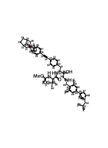 COC(=O)NC(C(=O)N[C@@H](Cc1ccc(C#Cc2ccc(N3CC4CCC(C3)N4C3COC3)nc2)cc1)[C@@H](O)CNCc1c(F)cc(-c2ccn(CC(F)F)n2)cc1F)C(C)(C)C(F)(F)F